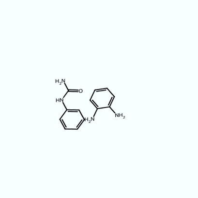 NC(=O)Nc1ccccc1.Nc1ccccc1N